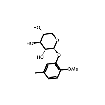 COc1ccc(C)cc1O[C@@H]1OC[C@@H](O)[C@H](O)[C@H]1O